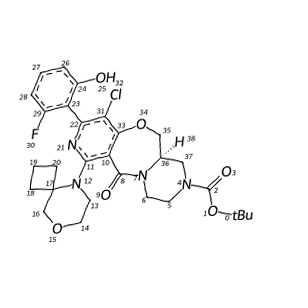 CC(C)(C)OC(=O)N1CCN2C(=O)c3c(N4CCOCC45CCC5)nc(-c4c(O)cccc4F)c(Cl)c3OC[C@H]2C1